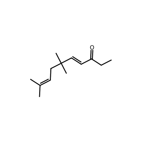 CCC(=O)C=CC(C)(C)CC=C(C)C